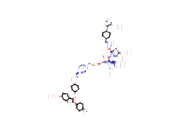 Cc1ncsc1-c1ccc(CNC(=O)[C@H]2C[C@H](O)CN2C(=O)[C@@H](NC(=O)COCCN2CCN(CCOc3ccc(Oc4c(-c5ccc(Br)cc5)sc5cc(O)ccc45)cc3)CC2)C(C)(C)C)cc1